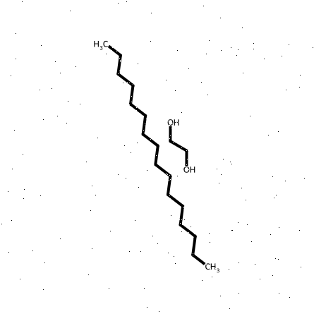 CCCCCCCCCCCCCCCC.OCCO